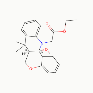 CCOC(=O)CN1c2ccccc2C(C)(C)[C@@H]2COc3ccccc3[C@@]21OC